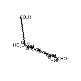 O=CC(CCCCNC(=O)COCCOCCNC(=O)COCCOCCNC(=O)CCC(NC(=O)CCCCCCCCCCCCCCCCCCC(=O)O)C(=O)O)NO